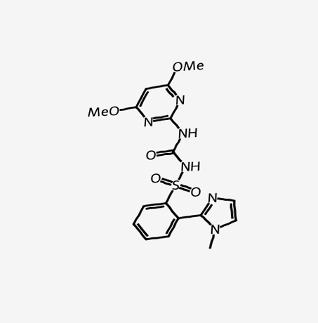 COc1cc(OC)nc(NC(=O)NS(=O)(=O)c2ccccc2-c2nccn2C)n1